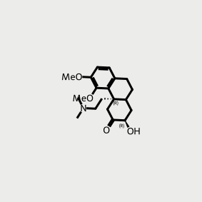 COc1ccc2c(c1OC)[C@]1(CCN(C)C)CC(=O)[C@H](O)CC1CC2